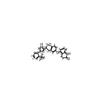 O=C1CCc2c(Oc3ccc4c(c3)CC(c3cc(-c5ccccc5C(F)(F)F)n[nH]3)CO4)ccnc2N1